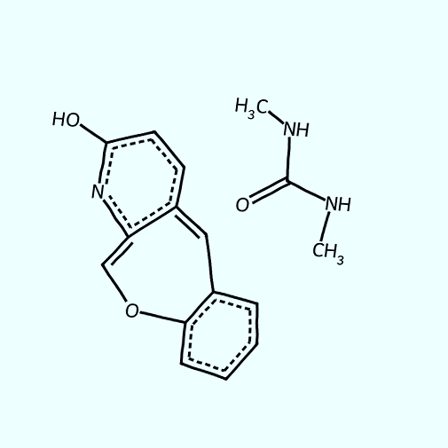 CNC(=O)NC.Oc1ccc2c(n1)=COc1ccccc1C=2